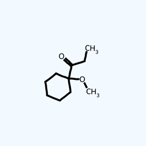 CCC(=O)C1(OC)CCCCC1